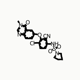 Cn1cnc2ccc(Oc3c(Cl)ccc(NS(=O)(=O)N4CCCC4)c3C#N)cc2c1=O